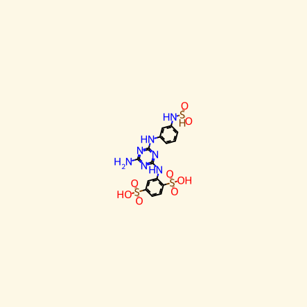 Nc1nc(Nc2cccc(N[SH](=O)=O)c2)nc(Nc2cc(S(=O)(=O)O)ccc2S(=O)(=O)O)n1